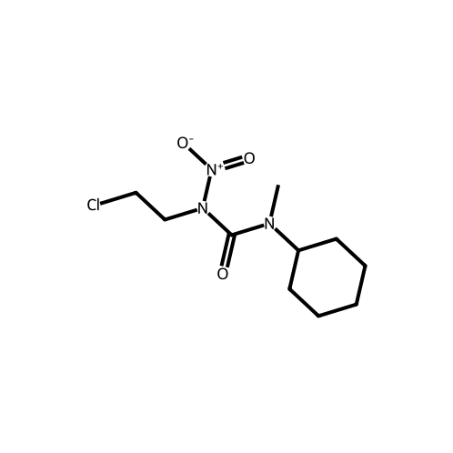 CN(C(=O)N(CCCl)[N+](=O)[O-])C1CCCCC1